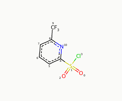 O=S(=O)(Cl)c1cccc(C(F)(F)F)n1